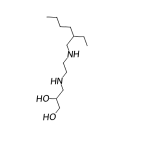 CCCCC(CC)CNCCNCC(O)CO